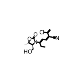 C=C(Cl)/C(C#N)=C\C=C(/CC)N1C(=O)O[C@@H](C)[C@@H]1CO